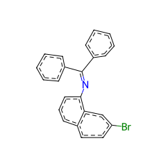 Brc1ccc2cccc(N=C(c3ccccc3)c3ccccc3)c2c1